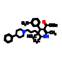 COC(=O)C1=C(C)NC(C)C(CCCN2CCC(c3ccccc3)CC2)(C(=O)O)C1c1cccc([N+](=O)[O-])c1